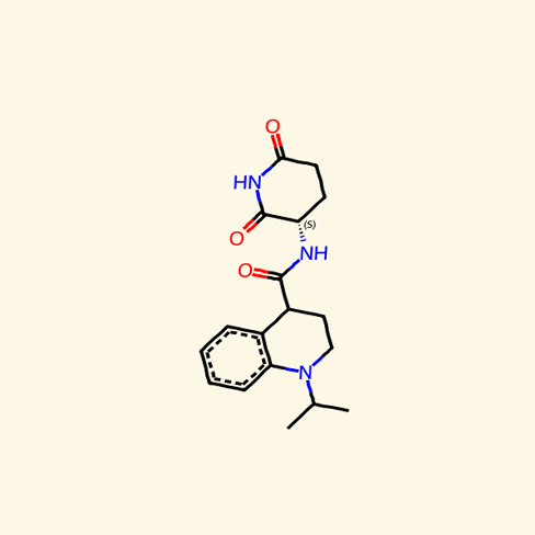 CC(C)N1CCC(C(=O)N[C@H]2CCC(=O)NC2=O)c2ccccc21